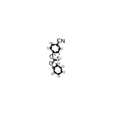 N#Cc1ccc(OP2(=S)Oc3ccccc32)cc1